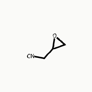 [C-]#[N+]CC1CO1